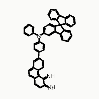 N=C1C=Cc2ccc3cc(-c4ccc(N(c5ccccc5)c5ccc6c(c5)-c5ccccc5C65c6ccccc6-c6ccccc65)cc4)ccc3c2C1=N